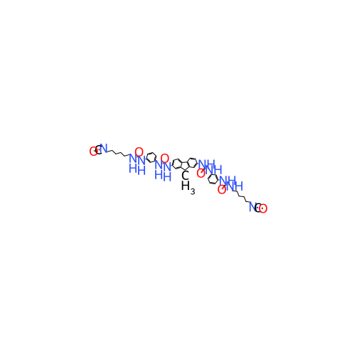 CC1c2cc(NC(=O)Nc3cccc(NC(=O)NCCCCCCN=C=O)c3)ccc2-c2ccc(NC(=O)Nc3cccc(NC(=O)NCCCCCCN=C=O)c3)cc21